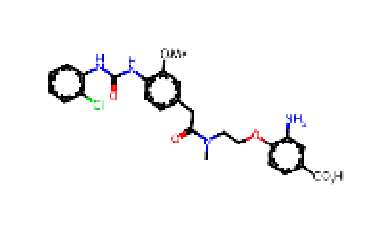 COc1cc(CC(=O)N(C)CCOc2ccc(C(=O)O)cc2N)ccc1NC(=O)Nc1ccccc1Cl